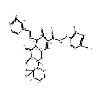 O=C(NCc1ccc(F)cc1F)c1cn2c(c(OCc3ccccc3)c1=O)C(=O)N1CC[C@H]3CCCCN3[C@H]1C2